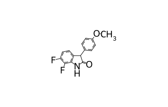 COc1ccc(C2C(=O)Nc3c2ccc(F)c3F)cc1